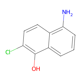 Nc1cccc2c(O)c(Cl)ccc12